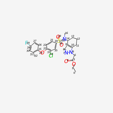 CCOC(=O)Cn1ncc2c1CCCC2N(C)S(=O)(=O)c1ccc(Oc2ccc(F)cc2C)c(Cl)c1